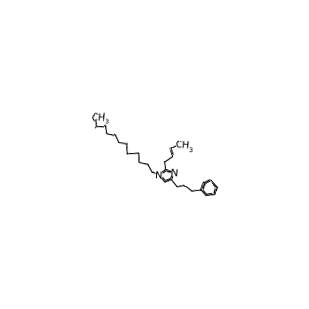 CCCCCCCCCCCCn1cc(CCCc2ccccc2)nc1CCCC